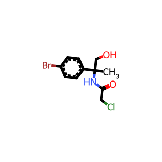 CC(CO)(NC(=O)CCl)c1ccc(Br)cc1